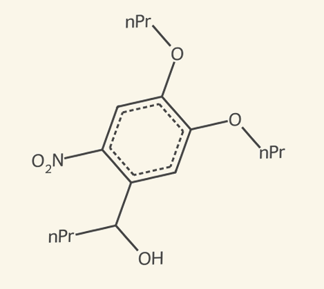 CCCOc1cc(C(O)CCC)c([N+](=O)[O-])cc1OCCC